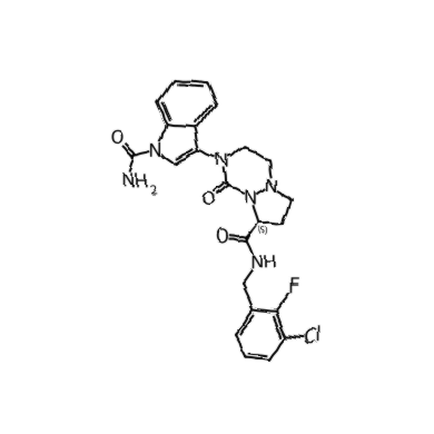 NC(=O)n1cc(N2CCN3CC[C@@H](C(=O)NCc4cccc(Cl)c4F)N3C2=O)c2ccccc21